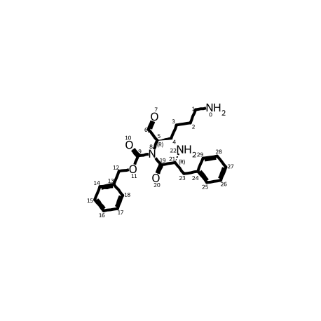 NCCCC[C@H]([C]=O)N(C(=O)OCc1ccccc1)C(=O)[C@H](N)Cc1ccccc1